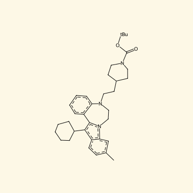 Cc1ccc2c(C3CCCCC3)c3n(c2c1)CCN(CCC1CCN(C(=O)OC(C)(C)C)CC1)c1ccccc1-3